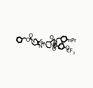 CCCc1ccc(CNC(=O)C2CN(c3nc4c(s3)CN(C(=O)OCc3ccccc3)CC4)CCN2S(=O)(=O)c2ccc(OC(F)(F)F)cc2)cc1